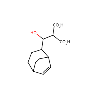 O=C(O)C(C(=O)O)C(O)C1CCC2C=CC1CC2